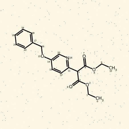 CCOC(=O)C(C(=O)OCC)c1ccc(OCc2ccccc2)cn1